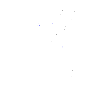 CS(=O)(=O)O.O.O=c1c2ccccc2[nH]c2c([N+](=O)[O-])ccc(NCCNCCO)c12